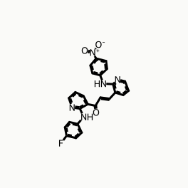 O=C(/C=C/c1cccnc1Nc1ccc([N+](=O)[O-])cc1)c1cccnc1Nc1ccc(F)cc1